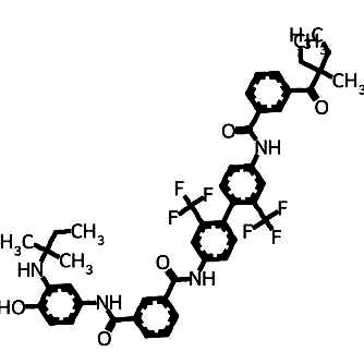 CCC(C)(C)Nc1cc(NC(=O)c2cccc(C(=O)Nc3ccc(-c4ccc(NC(=O)c5cccc(C(=O)C(C)(CC)CC)c5)cc4C(F)(F)F)c(C(F)(F)F)c3)c2)ccc1O